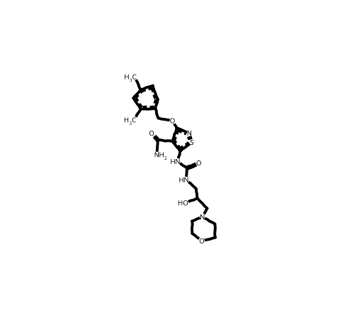 Cc1ccc(COc2nsc(NC(=O)NCC(O)CN3CCOCC3)c2C(N)=O)c(C)c1